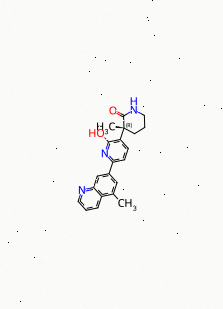 Cc1cc(-c2ccc([C@@]3(C)CCCNC3=O)c(O)n2)cc2ncccc12